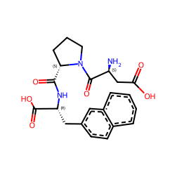 N[C@@H](CC(=O)O)C(=O)N1CCC[C@H]1C(=O)N[C@H](Cc1ccc2ccccc2c1)C(=O)O